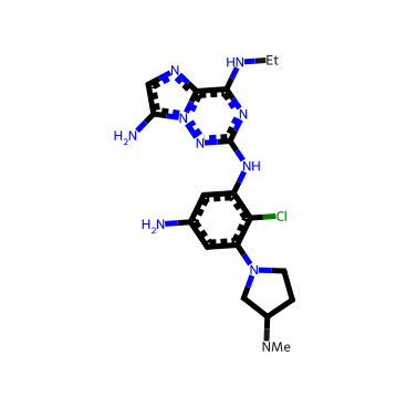 CCNc1nc(Nc2cc(N)cc(N3CCC(NC)C3)c2Cl)nn2c(N)cnc12